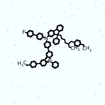 C=Cc1ccc(CC(CC)CCCCC2(c3ccccc3)c3ccccc3-c3ccc(N(c4ccc(-c5ccc(F)cc5)cc4)c4ccc(-c5ccc6c(c5)c5cc(-c7ccc(C=C)cc7)ccc5n6-c5ccccc5)cc4)cc32)cc1